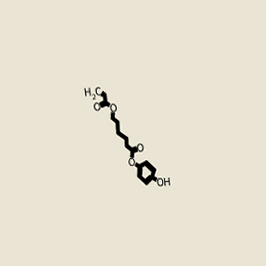 C=CC(=O)OCCCCCC(=O)Oc1ccc(O)cc1